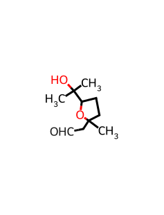 CC1(CC=O)CCC(C(C)(C)O)O1